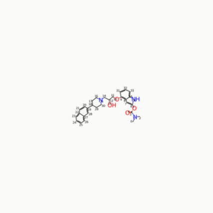 CN(C)C(=O)Oc1cc2c(OCC(O)CN3CCC(c4ccc5ccccc5c4)CC3)cccc2[nH]1